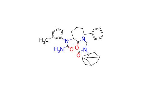 Cc1cccc(N(C(N)=O)C2CCCC(c3ccccc3)N(CN(C=O)C34CC5CC(CC(C5)C3)C4)C2=O)c1